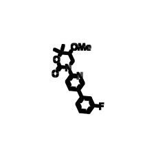 COC1CN(c2ccc(-c3cccc(F)c3)cn2)C(=O)OC1(C)C